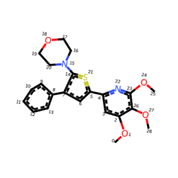 COc1cc(-c2cc(-c3ccccc3)c(N3CCOCC3)s2)nc(OC)c1OC